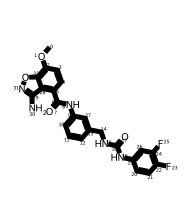 COc1ccc(C(=O)Nc2cccc(CNC(=O)Nc3ccc(F)c(F)c3)c2)c2c(N)noc12